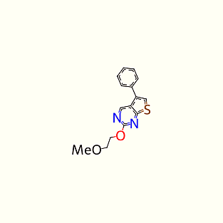 COCCOc1ncc2c(-c3ccccc3)csc2n1